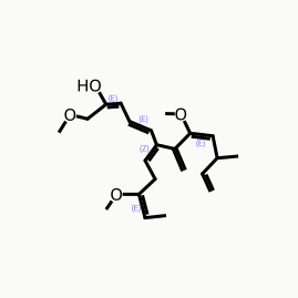 C=CC(C)/C=C(/OC)C(=C)C(=C\C/C(=C\C)OC)/C=C/C=C(/O)COC